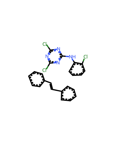 C(=Cc1ccccc1)c1ccccc1.Clc1nc(Cl)nc(Nc2ccccc2Cl)n1